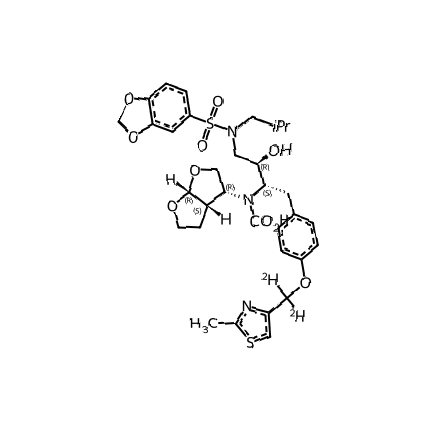 [2H]C([2H])(Oc1ccc(C[C@@H]([C@H](O)CN(CC(C)C)S(=O)(=O)c2ccc3c(c2)OCO3)N(C(=O)O)[C@H]2CO[C@H]3OCC[C@H]32)cc1)c1csc(C)n1